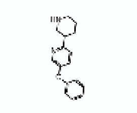 c1ccc(Oc2ccc(C3CCCNC3)nc2)cc1